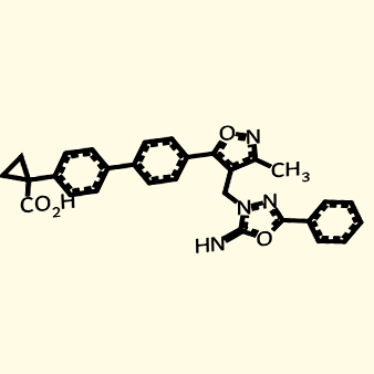 Cc1noc(-c2ccc(-c3ccc(C4(C(=O)O)CC4)cc3)cc2)c1Cn1nc(-c2ccccc2)oc1=N